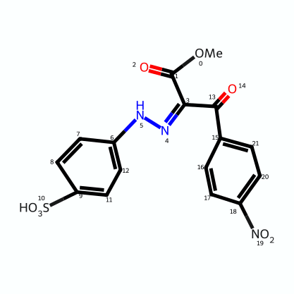 COC(=O)/C(=N\Nc1ccc(S(=O)(=O)O)cc1)C(=O)c1ccc([N+](=O)[O-])cc1